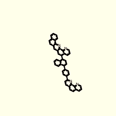 c1ccc2c(c1)ccc1cc3cc(-c4ccc(-c5ccc(-c6ccc7ccc8cccnc8c7n6)cc5)c5ccccc45)c4cccnc4c3nc12